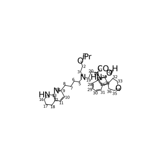 CC(C)OCCN(CCCCc1ccc2c(n1)NCCC2)CC[C@H](NC(=O)C1(c2ccccc2)CCOCC1)C(=O)O